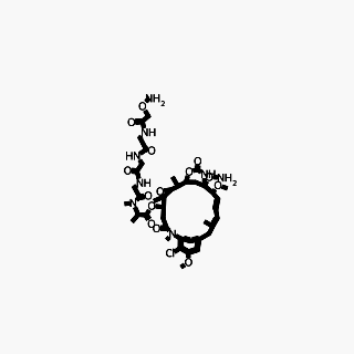 COc1cc2cc(c1Cl)N(C)C(=O)CC(OC(=O)C(C)N(C)C(=O)CNC(=O)CNC(=O)CNC(=O)CON)C1(C)OC1C(C)C1CC(ON)(NC(=O)O1)C(OC)/C=C/C=C(\C)C2